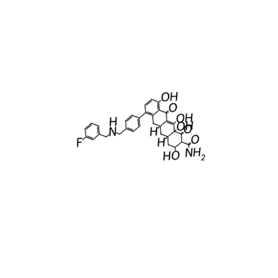 NC(=O)C1C(=O)[C@@]2(O)C(O)=C3C(=O)c4c(O)ccc(-c5ccc(CNCc6cccc(F)c6)cc5)c4C[C@H]3C[C@H]2CC1O